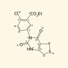 CCOC(=O)c1cc(-n2c(=O)[nH]c3c(c2=O)CSC3)ccc1Cl